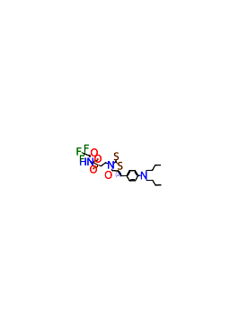 CCCCN(CCCC)c1ccc(/C=C2\SC(=S)N(CCS(=O)(=O)NC(=O)C(F)(F)F)C2=O)cc1